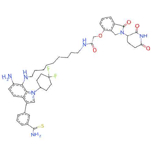 NC(=S)c1cccc(-c2cn(C3CCC(F)(F)CC3)c3c(NCCCCCCCCCNC(=O)COc4cccc5c4CN(C4CCC(=O)NC4=O)C5=O)c(N)ccc23)c1